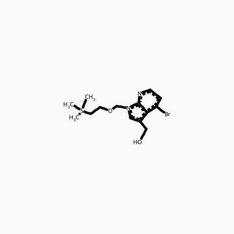 CS(C)(C)CCOCn1cc(CO)c2c(Br)ccnc21